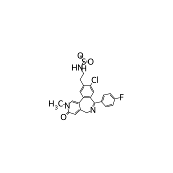 Cn1cc2c(cc1=O)CN=C(c1ccc(F)cc1)c1cc(Cl)c(CCN[SH](=O)=O)cc1-2